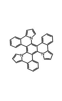 c1ccc2c(c1)c1c3c(c4ccccc4c4cccn43)c3c(c4ccccc4c4cccn43)c1n1cccc21